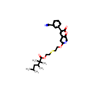 CC(C)CC(C)C(C)(C)C(=O)OCCSCCOc1cc2cc(-c3cccc(C#N)c3)c(=O)oc2cn1